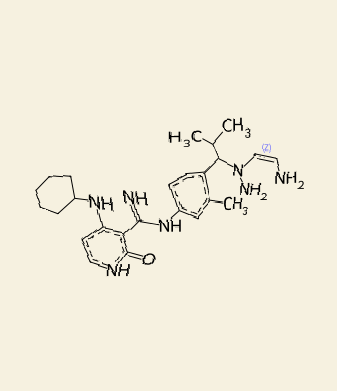 Cc1cc(NC(=N)c2c(NC3CCCCC3)cc[nH]c2=O)ccc1C(C(C)C)N(N)/C=C\N